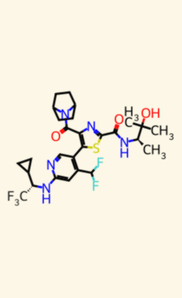 C[C@@H](NC(=O)c1nc(C(=O)N2C3CCC2CC3)c(-c2cnc(N[C@@H](C3CC3)C(F)(F)F)cc2C(F)F)s1)C(C)(C)O